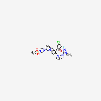 Cc1c(CN2CCCC23CCN(c2c(Oc4ccc(Cl)cc4F)ncn2C)C3)ccc2c1cc(C#N)n2CC(C)N1CCN(S(C)(=O)=O)CC1